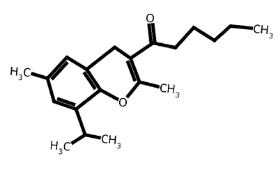 CCCCCC(=O)C1=C(C)Oc2c(cc(C)cc2C(C)C)C1